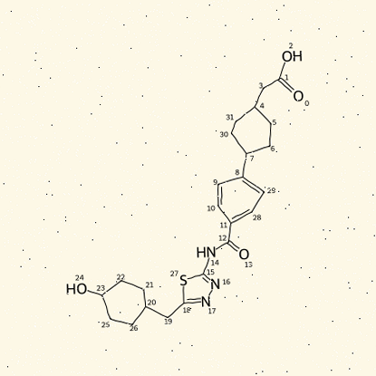 O=C(O)CC1CCC(c2ccc(C(=O)Nc3nnc(CC4CCC(O)CC4)s3)cc2)CC1